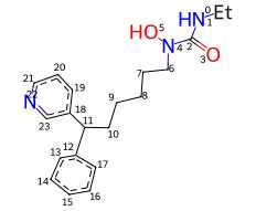 CCNC(=O)N(O)CCCCCC(c1ccccc1)c1cccnc1